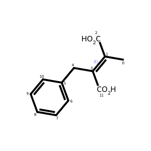 C/C(C(=O)O)=C(/Cc1ccccc1)C(=O)O